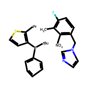 CC(C)c1sccc1B(c1ccccc1)C(C)(C)C.Cc1c(F)ccc(Cn2ccnc2)c1[N+](=O)[O-]